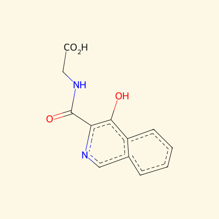 O=C(O)CNC(=O)c1ncc2ccccc2c1O